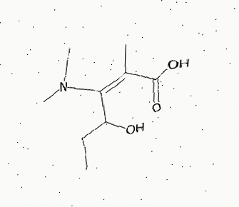 CCC(O)C(=C(C)C(=O)O)N(C)C